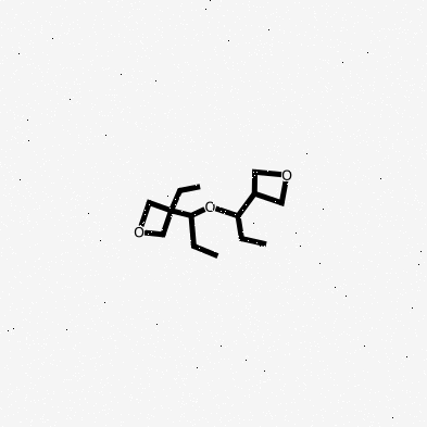 CCC(OC(CC)C1(CC)COC1)C1COC1